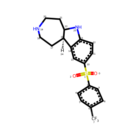 O=S(=O)(c1ccc(C(F)(F)F)cc1)c1ccc2c(c1)[C@H]1CCNCCC1N2